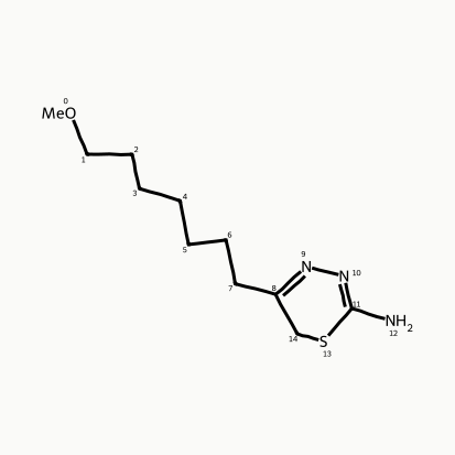 COCCCCCCCC1=NN=C(N)SC1